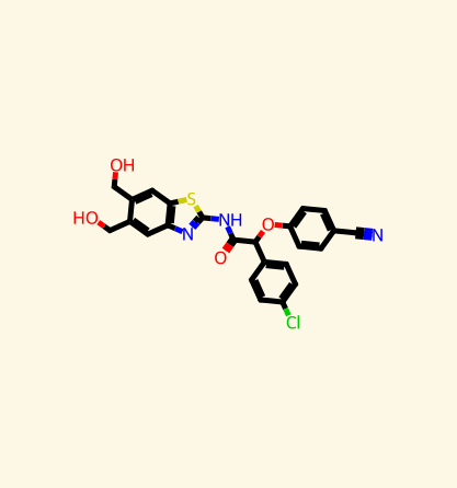 N#Cc1ccc(OC(C(=O)Nc2nc3cc(CO)c(CO)cc3s2)c2ccc(Cl)cc2)cc1